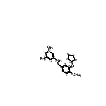 COc1ccc(CNC2=CN(O)CC(Br)=C2)cc1OC1CCCC1